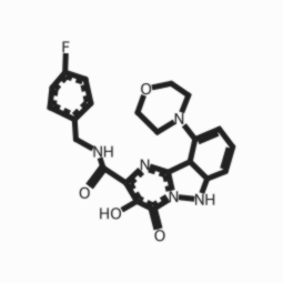 O=C(NCc1ccc(F)cc1)c1nc2n(c(=O)c1O)NC1C=CC=C(N3CCOCC3)C21